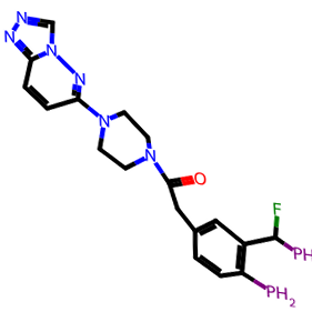 O=C(Cc1ccc(P)c(C(F)P)c1)N1CCN(c2ccc3nncn3n2)CC1